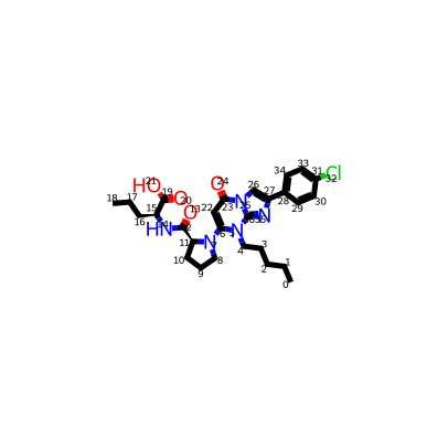 CCCCCn1c(N2CCC[C@H]2C(=O)N[C@@H](CCC)C(=O)O)cc(=O)n2cc(-c3ccc(Cl)cc3)nc12